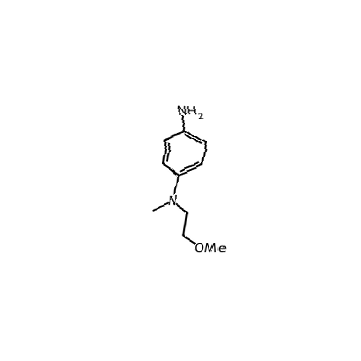 COCCN(C)c1ccc(N)cc1